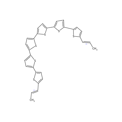 C/C=C/c1ccc(-c2ccc(-c3ccc(-c4ccc(-c5ccc(-c6ccc(/C=C/C)s6)s5)s4)s3)s2)s1